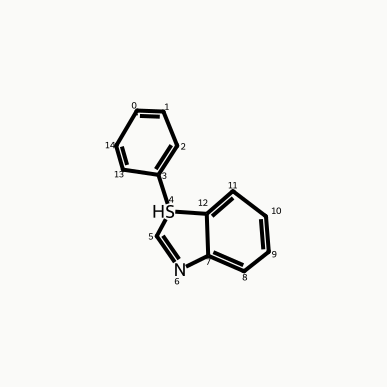 [c]1ccc([SH]2C=Nc3ccccc32)cc1